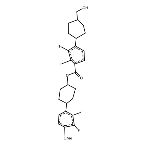 COc1ccc(C2CCC(OC(=O)c3ccc(C4CCC(CO)CC4)c(F)c3F)CC2)c(F)c1F